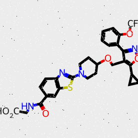 O=C(O)CNC(=O)c1ccc2nc(N3CCC(OCc4c(-c5ccccc5OC(F)(F)F)noc4C4CC4)CC3)sc2c1